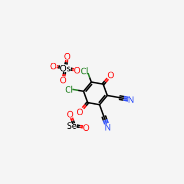 N#CC1=C(C#N)C(=O)C(Cl)=C(Cl)C1=O.O=[Se]=O.[O]=[Os](=[O])(=[O])=[O]